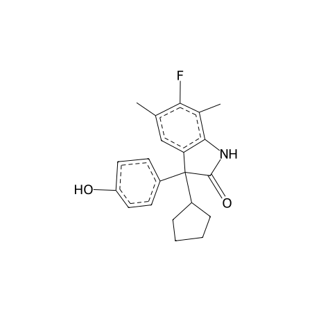 Cc1cc2c(c(C)c1F)NC(=O)C2(c1ccc(O)cc1)C1CCCC1